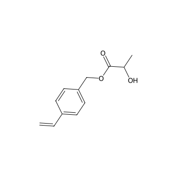 C=Cc1ccc(COC(=O)C(C)O)cc1